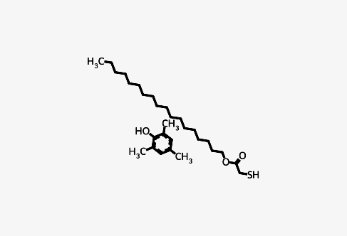 CCCCCCCCCCCCCCCCCCOC(=O)CS.Cc1cc(C)c(O)c(C)c1